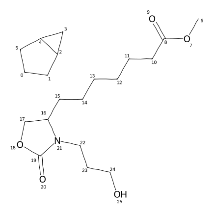 C1CC2CC2C1.COC(=O)CCCCCCC1COC(=O)N1CCCO